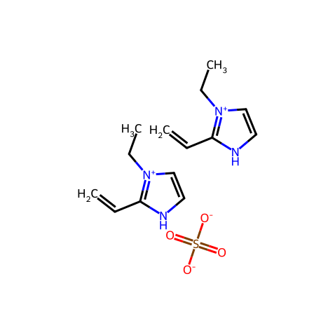 C=Cc1[nH]cc[n+]1CC.C=Cc1[nH]cc[n+]1CC.O=S(=O)([O-])[O-]